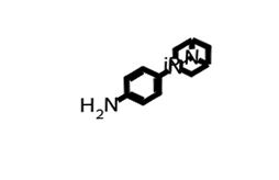 CC(C)N1C2CC1CN(c1ccc(N)cc1)C2